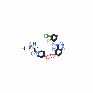 CN(C)CC(=O)N1CCC(OCOc2ccc3ncnc(Nc4cccc(Cl)c4F)c3c2)CC1